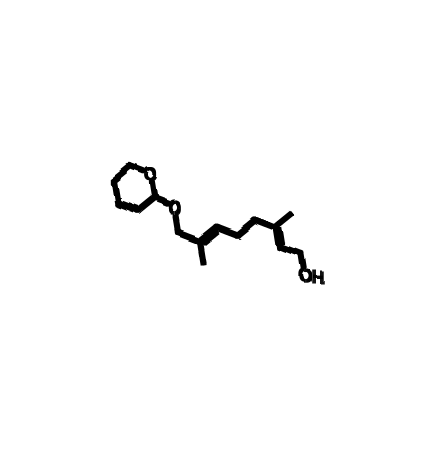 CC(=CCO)CCC=C(C)COC1CCCCO1